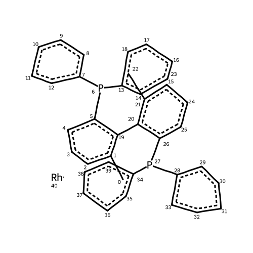 Cc1cccc(P(c2ccccc2)c2ccccc2)c1-c1c(C)cccc1P(c1ccccc1)c1ccccc1.[Rh]